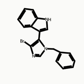 Brc1ncn(Cc2ccccc2)c1-c1c[nH]c2ccccc12